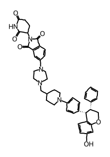 O=C1CCC(N2C(=O)c3ccc(N4CCN(CC5CCN(c6ccc([C@H]7c8ccc(O)cc8OC[C@H]7c7ccccc7)cc6)CC5)CC4)cc3C2=O)C(=O)N1